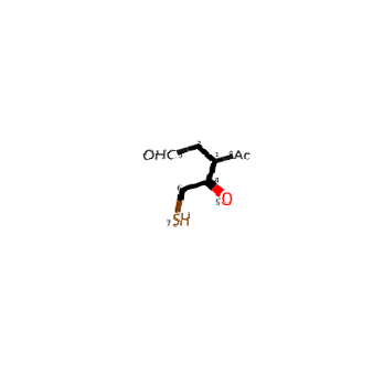 CC(=O)C(CC=O)C(=O)CS